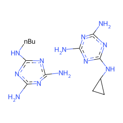 CCCCNc1nc(N)nc(N)n1.Nc1nc(N)nc(NC2CC2)n1